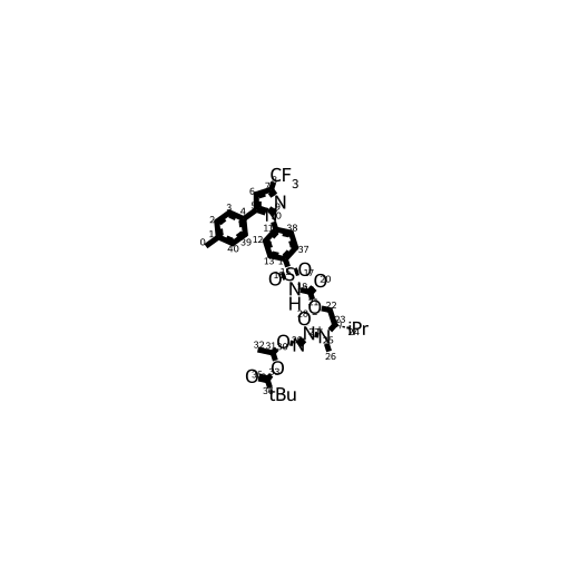 Cc1ccc(-c2cc(C(F)(F)F)nn2-c2ccc(S(=O)(=O)NC(=O)OC[C@H](C(C)C)N(C)[N+]([O-])=NOC(C)OC(=O)C(C)(C)C)cc2)cc1